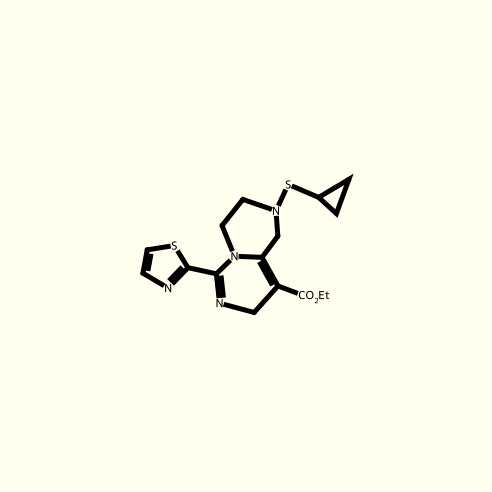 CCOC(=O)C1=C2CN(SC3CC3)CCN2C(c2nccs2)=NC1